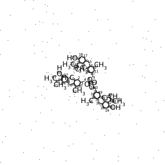 Cc1cc(COP(=O)(OCc2cc(C)c(Cc3ccc(O)c(C(C)C)c3)c(C)c2)OCc2cc(C)c(Cc3ccc(O)c(C(C)C)c3)c(C)c2)cc(C)c1Cc1ccc(O)c(C(C)C)c1